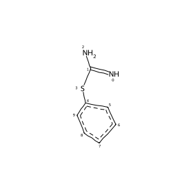 N=C(N)Sc1ccccc1